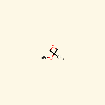 CCCOC1(C)COC1